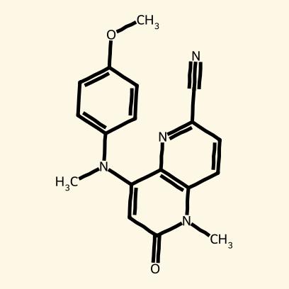 COc1ccc(N(C)c2cc(=O)n(C)c3ccc(C#N)nc23)cc1